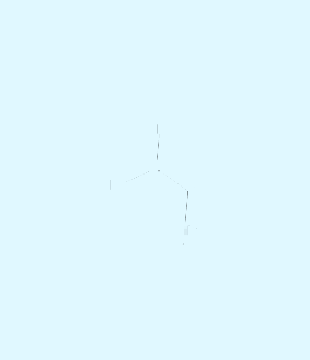 CC[SiH](CC)CC(C)C